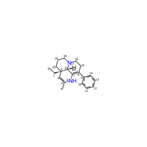 CC[C@@]12C=C(C)NC3=C(c4ccccc4)CCN(CCC1)[C@H]32